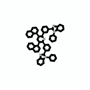 c1ccc(-n2c(-c3cccc(-c4nc(-c5cccc(-c6nc7ccccc7n6-c6ccccc6)c5)c(-c5cccc6ccccc56)cc4-c4cccc5ccccc45)c3)nc3ccccc32)cc1